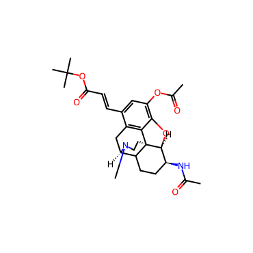 CC(=O)N[C@H]1CCC2[C@H]3Cc4c(/C=C/C(=O)OC(C)(C)C)cc(OC(C)=O)c5c4[C@@]2(CCN3C)[C@H]1O5